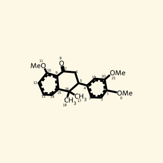 COc1ccc(C2CC(=O)c3c(OC)cccc3C2(C)C)cc1OC